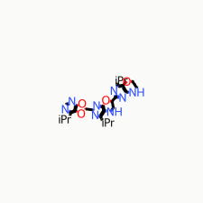 CC(C)c1nc(C2Oc3ncnc(C(C)C)c3O2)nc2c1NCC(c1nc3c(c(C(C)C)n1)OCCN3)O2